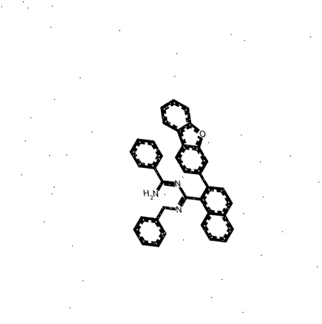 N/C(=N\C(=N/Cc1ccccc1)c1c(-c2ccc3c(c2)oc2ccccc23)ccc2ccccc12)c1ccccc1